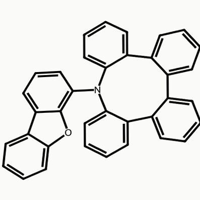 c1ccc2c(c1)oc1c(-n3c4ccccc4c4ccccc4c4ccccc4c4ccccc43)cccc12